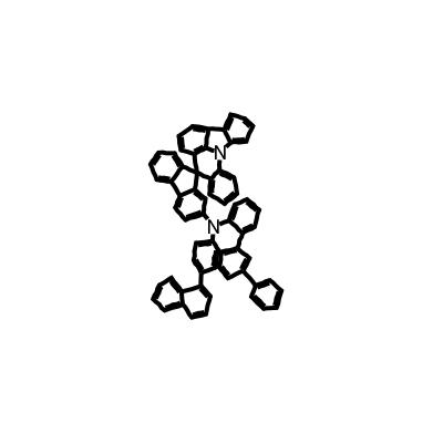 c1ccc(-c2cccc(-c3ccccc3N(c3ccc(-c4cccc5ccccc45)cc3)c3ccc4c(c3)C3(c5ccccc5-4)c4ccccc4-n4c5ccccc5c5cccc3c54)c2)cc1